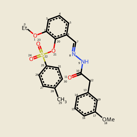 CCOc1cccc(C=NNC(=O)Cc2cccc(OC)c2)c1OS(=O)(=O)c1ccc(C)cc1